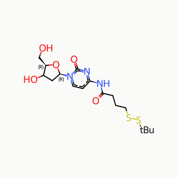 CC(C)(C)SSCCCC(=O)Nc1ccn([C@H]2CC(O)[C@@H](CO)O2)c(=O)n1